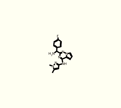 Cc1cc(Nc2nc(C(N)c3ccc(F)cc3)nn3cccc23)nn1C